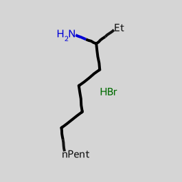 Br.CCCCCCCCCC(N)CC